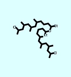 CCC(CCCC(C)CC(C)CC(C)CC(C)Cl)OC(CC)CCCC(C)CC(C)CC(C)CC(C)Cl